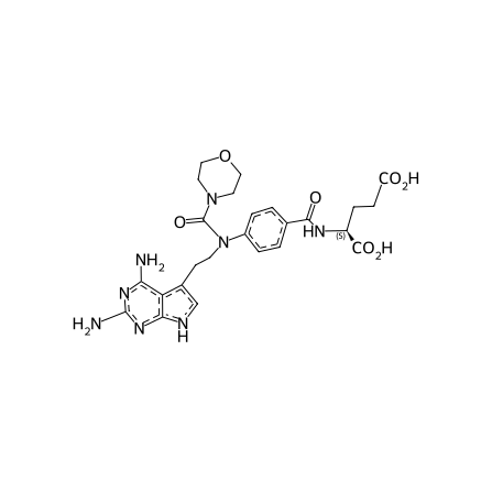 Nc1nc(N)c2c(CCN(C(=O)N3CCOCC3)c3ccc(C(=O)N[C@@H](CCC(=O)O)C(=O)O)cc3)c[nH]c2n1